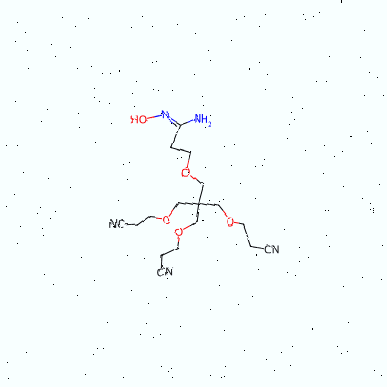 N#CCCOCC(COCCC#N)(COCCC#N)COCC/C(N)=N\O